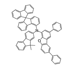 CC1(C)c2ccccc2-c2ccc(N(c3cccc4c3-c3ccccc3C43c4ccccc4-c4ccccc43)c3cc(-c4ccccc4)cc4c3oc3ccc(-c5ccccc5)cc34)cc21